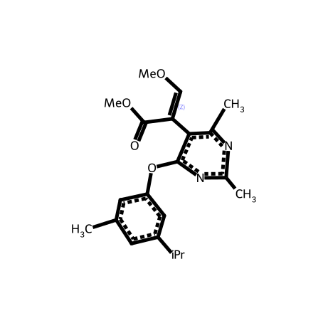 CO/C=C(\C(=O)OC)c1c(C)nc(C)nc1Oc1cc(C)cc(C(C)C)c1